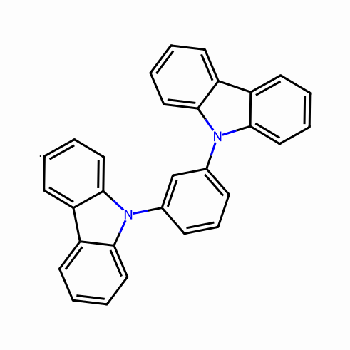 [c]1ccc2c(c1)c1ccccc1n2-c1cccc(-n2c3ccccc3c3ccccc32)c1